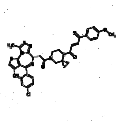 COc1ccc(C(=O)/C=C/C(=O)N2CCN(C(=O)C[C@@H]3N=C(c4ccc(Cl)cc4)c4c(C)csc4-n4c(C)nnc43)CC23CC3)cc1